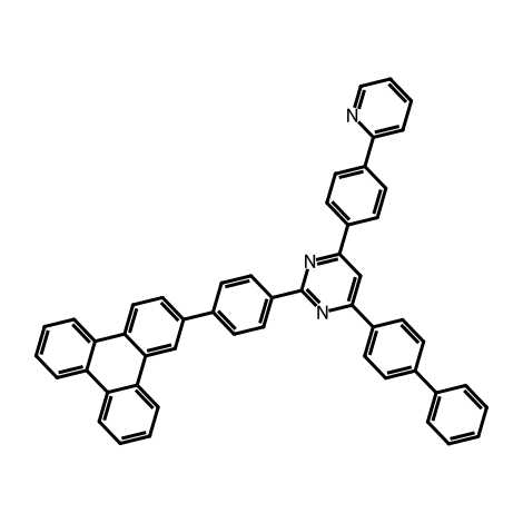 c1ccc(-c2ccc(-c3cc(-c4ccc(-c5ccccn5)cc4)nc(-c4ccc(-c5ccc6c7ccccc7c7ccccc7c6c5)cc4)n3)cc2)cc1